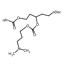 CCCCCCCCCCCCC(CCOC(=O)CCC)OC(=O)OCCCN(C)C